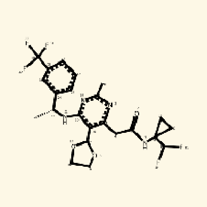 Cc1nc(CC(=O)NC2(C(F)F)CC2)c(C2OCCO2)c(N[C@H](C)c2cccc(C(F)(F)F)c2)n1